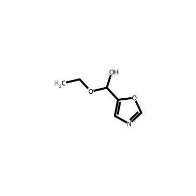 CCOC(O)c1cnco1